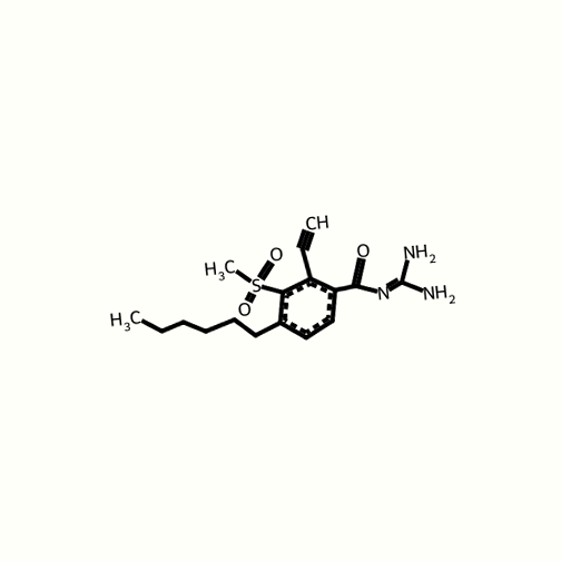 C#Cc1c(C(=O)N=C(N)N)ccc(CCCCCC)c1S(C)(=O)=O